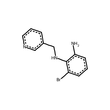 Nc1cccc(Br)c1NCc1cccnc1